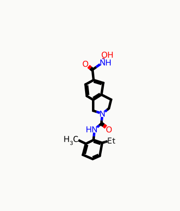 CCc1cccc(C)c1NC(=O)N1CCc2cc(C(=O)NO)ccc2C1